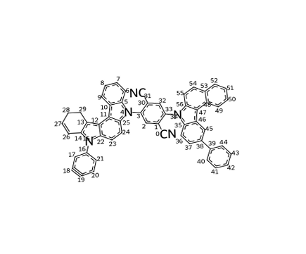 N#Cc1cc(-n2c3ccccc3c3c4c5c(n(-c6cc#ccc6)c4ccc32)C=CCC5)c(C#N)cc1-n1c2ccc(-c3ccccc3)cc2c2c3ccccc3ccc21